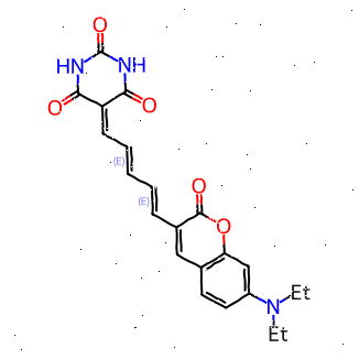 CCN(CC)c1ccc2cc(/C=C/C=C/C=C3C(=O)NC(=O)NC3=O)c(=O)oc2c1